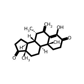 C=C1C2=C(O)C(=O)CC[C@]2(C)[C@H]2CC[C@]3(C)C(=O)CC[C@H]3[C@@H]2[C@@H]1C